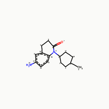 CC1CCC(N2C(=O)CCc3cc(N)ccc32)CC1